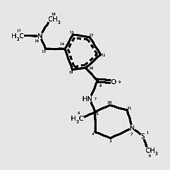 CSN1CCC(C)(NC(=O)c2cccc(CN(C)C)c2)CC1